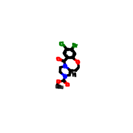 CC(C)(C)OC(=O)N1CCN2C(=O)c3cc(Cl)c(Br)cc3OCC[C@H]2C1